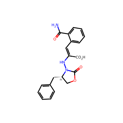 NC(=O)c1ccccc1C=C(NN1C(=O)OC[C@@H]1Cc1ccccc1)C(=O)O